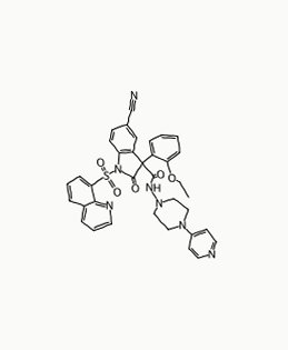 CCOc1ccccc1C1(C(=O)NN2CCN(c3ccncc3)CC2)C(=O)N(S(=O)(=O)c2cccc3cccnc23)c2ccc(C#N)cc21